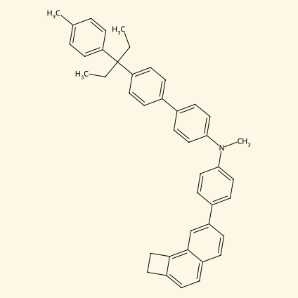 CCC(CC)(c1ccc(C)cc1)c1ccc(-c2ccc(N(C)c3ccc(-c4ccc5ccc6c(c5c4)CC6)cc3)cc2)cc1